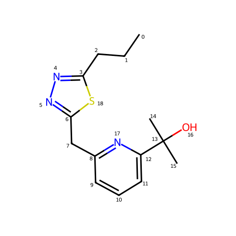 CCCc1nnc(Cc2cccc(C(C)(C)O)n2)s1